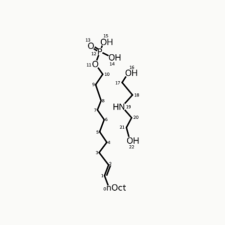 CCCCCCCCC=CCCCCCCCCOP(=O)(O)O.OCCNCCO